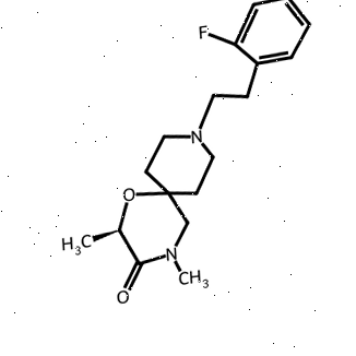 C[C@H]1OC2(CCN(CCc3ccccc3F)CC2)CN(C)C1=O